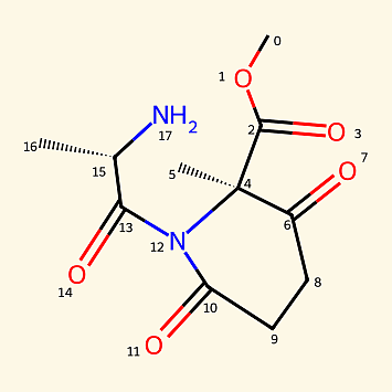 COC(=O)[C@@]1(C)C(=O)CCC(=O)N1C(=O)[C@H](C)N